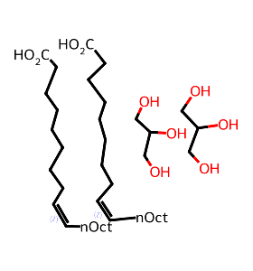 CCCCCCCC/C=C\CCCCCCCC(=O)O.CCCCCCCC/C=C\CCCCCCCC(=O)O.OCC(O)CO.OCC(O)CO